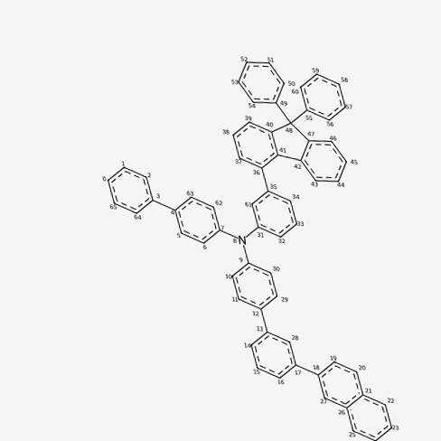 c1ccc(-c2ccc(N(c3ccc(-c4cccc(-c5ccc6ccccc6c5)c4)cc3)c3cccc(-c4cccc5c4-c4ccccc4C5(c4ccccc4)c4ccccc4)c3)cc2)cc1